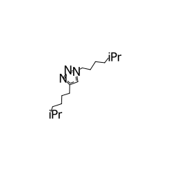 CC(C)CCCCc1cn(CCCCC(C)C)nn1